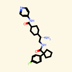 N[C@H](CNC(=O)C1(c2ccc(F)cc2)CCCC1)C1CCC(C(=O)Nc2ccncc2)CC1